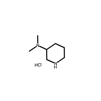 CN(C)C1CCCNC1.Cl